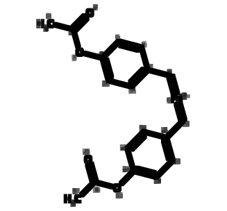 CC(=O)Oc1ccc([CH]=[Pd-2]=[CH]c2ccc(OC(C)=O)cc2)cc1